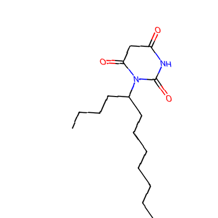 CCCCCCCC(CCCC)N1C(=O)CC(=O)NC1=O